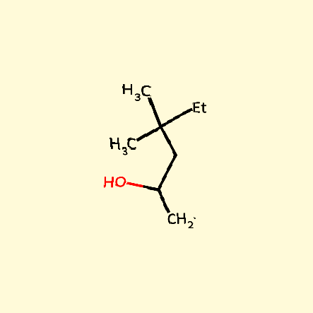 [CH2]C(O)CC(C)(C)CC